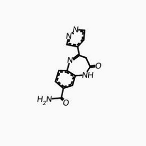 NC(=O)c1ccc2c(c1)NC(=O)CC(c1ccnnc1)=N2